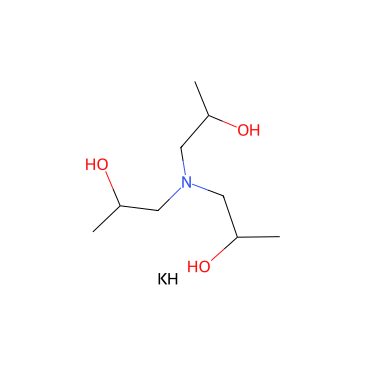 CC(O)CN(CC(C)O)CC(C)O.[KH]